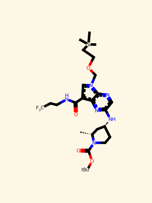 C[C@@H]1C[C@H](Nc2cnc3c(n2)c(C(=O)NCCC(F)(F)F)cn3COCC[Si](C)(C)C)CCN1C(=O)OC(C)(C)C